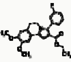 CCOC(=O)c1cc2n(c1-c1cccc(F)c1)CCc1cc(OC)c(OC)cc1-2